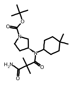 CC1(C)CCC(N(C(=O)C(C)(C)C(N)=O)[C@H]2CCN(C(=O)OC(C)(C)C)C2)CC1